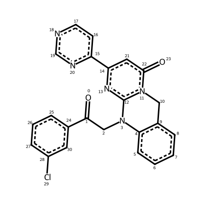 O=C(CN1c2ccccc2Cn2c1nc(-c1ccncn1)cc2=O)c1cccc(Cl)c1